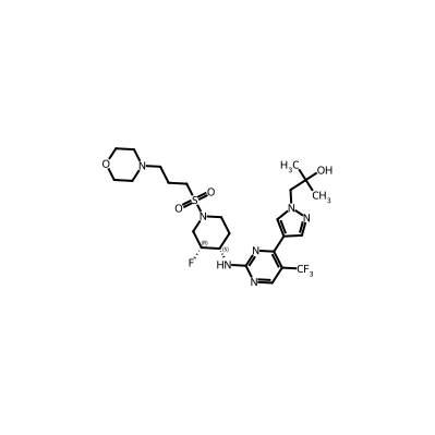 CC(C)(O)Cn1cc(-c2nc(N[C@H]3CCN(S(=O)(=O)CCCN4CCOCC4)C[C@H]3F)ncc2C(F)(F)F)cn1